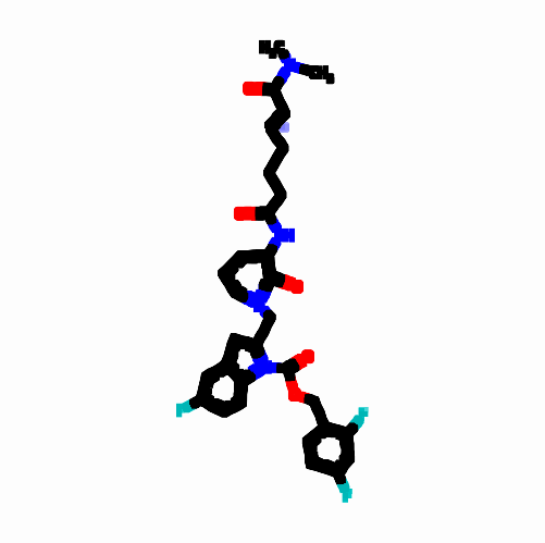 CN(C)C(=O)/C=C/CCCC(=O)Nc1cccn(Cc2cc3cc(F)ccc3n2C(=O)OCc2ccc(F)cc2F)c1=O